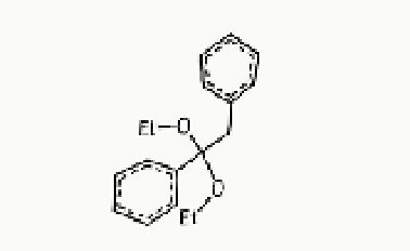 CCOC(Cc1ccccc1)(OCC)c1ccccc1